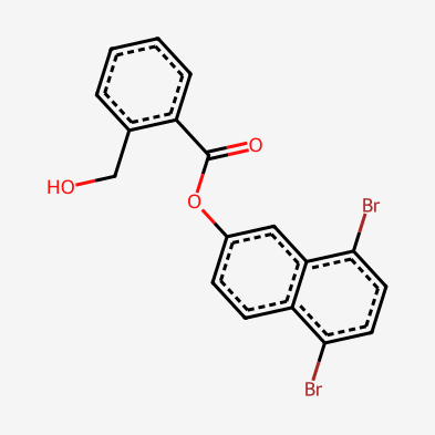 O=C(Oc1ccc2c(Br)ccc(Br)c2c1)c1ccccc1CO